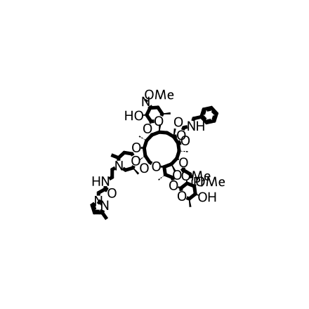 CON=C1C[C@@H](C)O[C@@H](O[C@@H]2[C@@H](C)[C@H](O[C@H]3CC(C)N(CCNC(=O)Cn4ccc(C)n4)C[C@H](C)O3)[C@@H](C)C(=O)O[C@H]([C@@H](C)CO[C@@H]3O[C@H](C)[C@@H](O)[C@@H](OC)[C@H]3OC)[C@H](C)[C@@H](OC(=O)CC(C)C)[C@@H](C)C(=O)[C@@](C)(OC(=O)NCc3ccccc3)C[C@@H]2C)[C@@H]1O